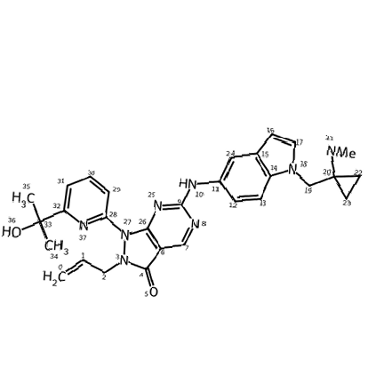 C=CCn1c(=O)c2cnc(Nc3ccc4c(ccn4CC4(NC)CC4)c3)nc2n1-c1cccc(C(C)(C)O)n1